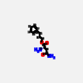 NC(=O)C[C@H](N)C(=O)OCCCc1ccccc1